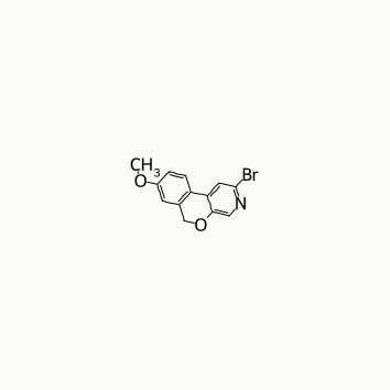 COc1ccc2c(c1)COc1cnc(Br)cc1-2